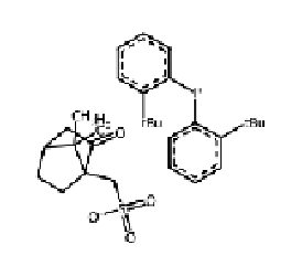 CC(C)(C)c1ccccc1[I+]c1ccccc1C(C)(C)C.CC1(C)C2CCC1(CS(=O)(=O)[O-])C(=O)C2